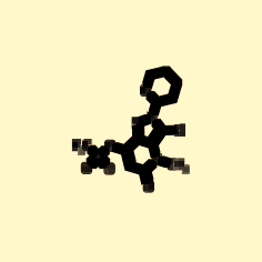 Cn1c(=O)cc(OS(=O)(=O)C(F)(F)F)c2nn(C3CCCCO3)c(Cl)c21